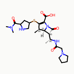 C[C@@H](NC(=O)CN1CCCC1)[C@H]1C(=O)N2C(C(=O)O)=C(SC3CNC(C(=O)N(C)C)C3)[C@H](C)[C@H]12